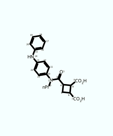 CCCN(C(=O)C1CC(C(=O)O)C1C(=O)O)c1ccc(Nc2ccccc2)cc1